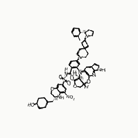 Cc1ccccc1[C@@H]1CCCN1C1CC2(CCN(c3ccc(C(=O)NS(=O)(=O)c4cc5c(c([N+](=O)[O-])c4)N[C@H](CC4CCC(O)CC4)CO5)c(N4c5cc6cc[nH]c6nc5O[C@@H]5COC[C@H]54)c3)CC2)C1